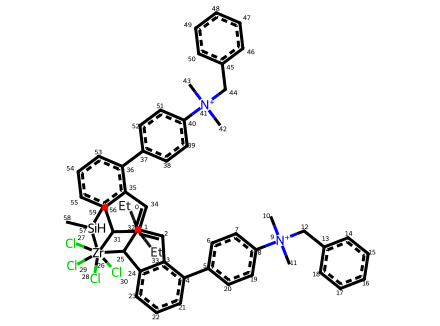 CCC1=Cc2c(-c3ccc([N+](C)(C)Cc4ccccc4)cc3)cccc2[CH]1[Zr]([Cl])([Cl])([Cl])([Cl])([CH]1C(CC)=Cc2c(-c3ccc([N+](C)(C)Cc4ccccc4)cc3)cccc21)[SiH](C)C